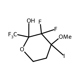 COC1(I)CCOC(O)(C(F)(F)F)C1(F)F